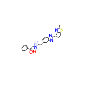 Cc1nc2c(s1)CCC2c1nc2ccc(CCNC[C@H](O)c3ccccc3)cc2n1C